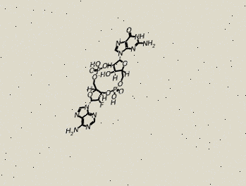 Nc1nc2c(ncn2[C@@H]2O[C@@H]3COP(=O)(O)O[C@H]4[C@@H](F)[C@H](n5cnc6c(N)ncnc65)O[C@@H]4COP(=O)(O)O[C@@H]2[C@@H]3O)c(=O)[nH]1